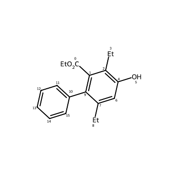 CCOC(=O)c1c(CC)c(O)cc(CC)c1-c1ccccc1